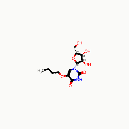 CCCCOc1cn([C@@H]2O[C@H](CO)[C@@H](O)[C@H]2O)c(=O)[nH]c1=O